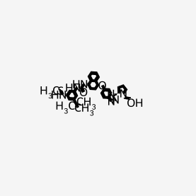 CSNc1cc(NC(=O)NC2CC[C@@H](Oc3ccc4nnc([C@@H]5CCCN5CCO)n4c3)c3ccccc32)cc(C(C)(C)C)c1